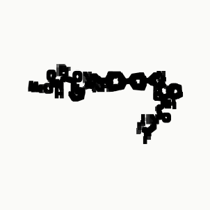 COC(=O)N[C@H](C(=O)N1CCC[C@H]1c1ncc(-c2ccc(-c3ccc(-c4cnc([C@@H]5C6CCC(C6)C5C(=O)NCC(=O)NCC(F)F)[nH]4)cc3)cc2)[nH]1)C(C)C